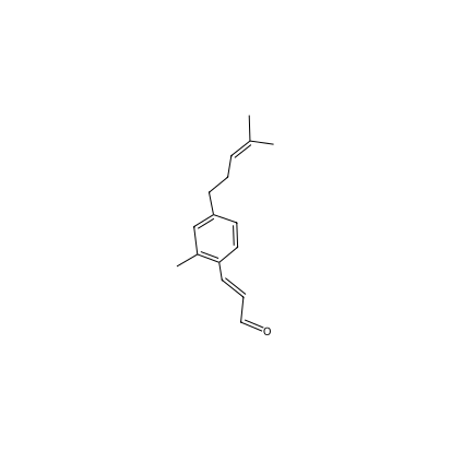 CC(C)=CCCc1ccc(C=CC=O)c(C)c1